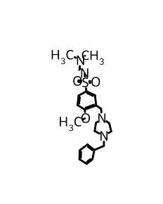 COc1ccc(S(=O)(=O)N=CN(C)C)cc1CN1CCN(Cc2ccccc2)CC1